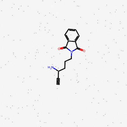 C#CC(N)CCCN1C(=O)c2ccccc2C1=O